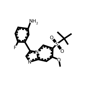 COc1cc2ncc(-c3cc(N)ccc3F)n2cc1S(=O)(=O)C(C)(C)C